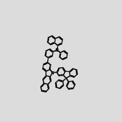 c1ccc(N(c2cccc(-c3ccc4c5cc6ccccc6cc5n(-c5ccc6c(c5)C(c5ccccc5)(c5ccccc5)c5ccccc5-6)c4c3)c2)c2cccc3ccccc23)cc1